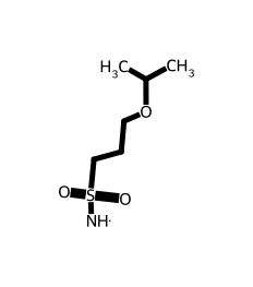 CC(C)OCCCS([NH])(=O)=O